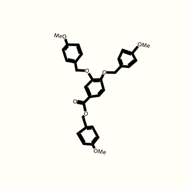 COc1ccc(COC(=O)c2ccc(OCc3ccc(OC)cc3)c(OCc3ccc(OC)cc3)c2)cc1